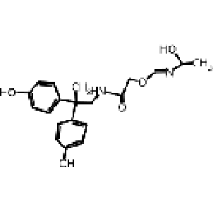 CC(O)N=COCC(=O)NCC(C)(c1ccc(O)cc1)c1ccc(O)cc1